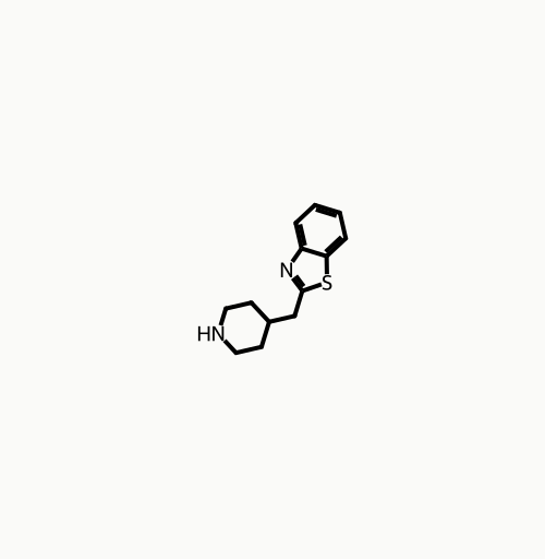 c1ccc2sc(CC3CCNCC3)nc2c1